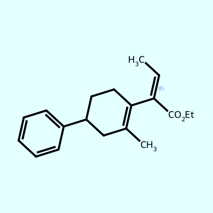 C/C=C(/C(=O)OCC)C1=C(C)CC(c2ccccc2)CC1